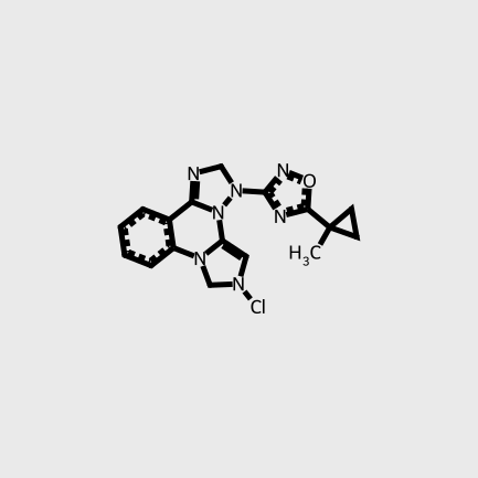 CC1(c2nc(N3CN=C4c5ccccc5N5CN(Cl)C=C5N43)no2)CC1